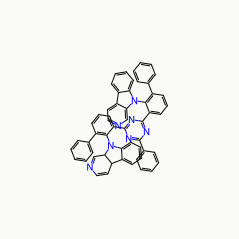 C1=CC2c3ccccc3N(c3c(-c4ccccc4)cccc3-c3nc(-c4ccccc4)nc(-c4cccc(-c5ccccc5)c4-n4c5ccccc5c5ccncc54)n3)C2C=N1